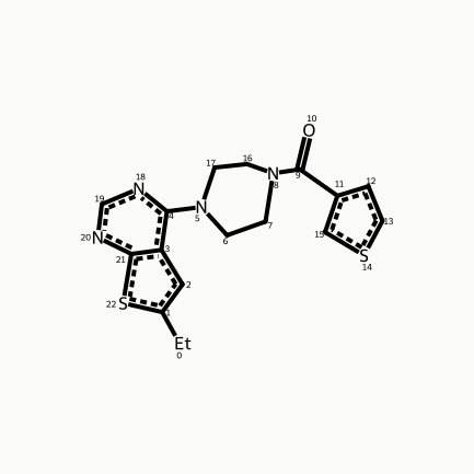 CCc1cc2c(N3CCN(C(=O)c4ccsc4)CC3)ncnc2s1